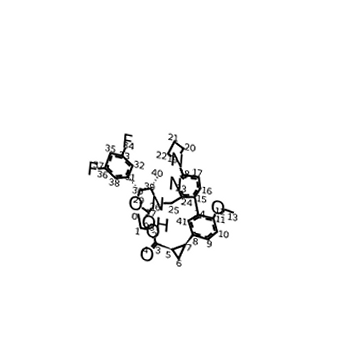 CCOC(=O)[C@@H]1C[C@@H]1c1ccc(OC)c(-c2ccc(N3CCC3)nc2CN2C(O)O[C@H](c3cc(F)cc(F)c3)[C@@H]2C)c1